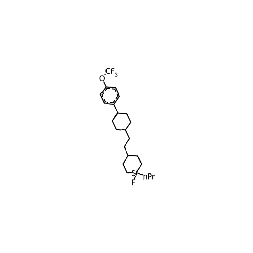 CCC[Si]1(F)CCC(CCC2CCC(c3ccc(OC(F)(F)F)cc3)CC2)CC1